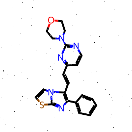 C(=C\c1c(-c2ccccc2)nc2sccn12)/c1ccnc(N2CCOCC2)n1